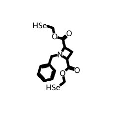 O=C(OC[SeH])C1CC(C(=O)OC[SeH])N1Cc1ccccc1